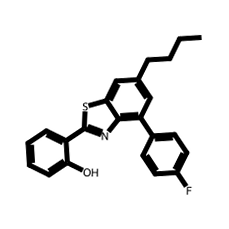 CCCCc1cc(-c2ccc(F)cc2)c2nc(-c3ccccc3O)sc2c1